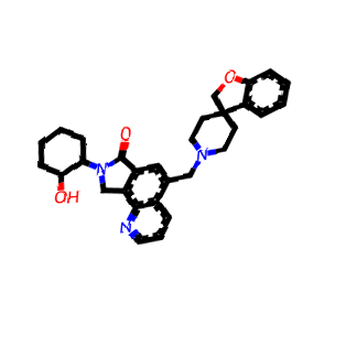 O=C1c2cc(CN3CCC4(CC3)COc3ccccc34)c3cccnc3c2CN1C1CCCCC1O